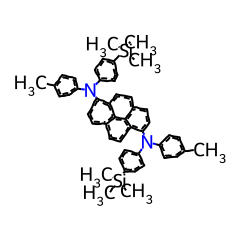 Cc1ccc(N(c2ccc([Si](C)(C)C)cc2)c2ccc3ccc4c(N(c5ccc(C)cc5)c5ccc([Si](C)(C)C)cc5)ccc5ccc2c3c54)cc1